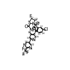 CC1C(F)CC(C(=O)NCc2cc(-c3cnc(C(F)(F)F)nc3)ncc2F)N1S(=O)(=O)c1cccc(Cl)c1